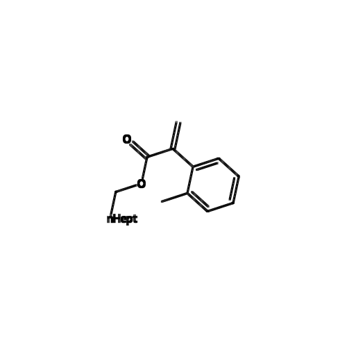 C=C(C(=O)OCCCCCCCC)c1ccccc1C